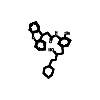 CC(C)(C)c1ccc(CC(O)CCC2CCCCC2)cc1NC(=O)CC1c2ccccc2Oc2ccccc21